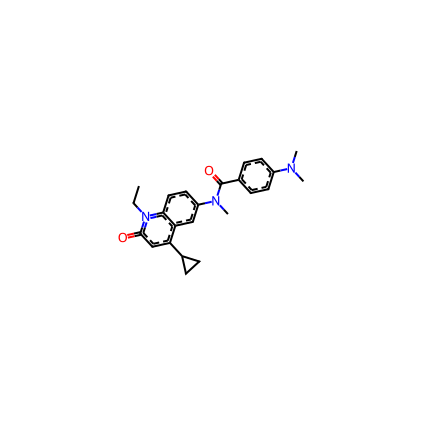 CCn1c(=O)cc(C2CC2)c2cc(N(C)C(=O)c3ccc(N(C)C)cc3)ccc21